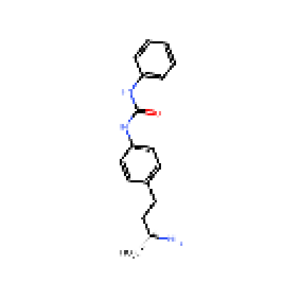 N[C@@H](CCc1ccc(NC(=O)Nc2ccccc2)cc1)C(=O)O